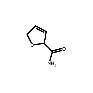 NC(=O)C1C=CCO1